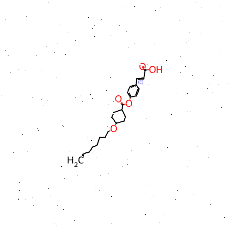 C=CCCCCCCOC1CCC(C(=O)Oc2ccc(/C=C/C(=O)O)cc2)CC1